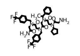 CC(c1ccccc1)N(CC(=O)N(CC(=O)N(CC(N)=O)Cc1ccc(C(F)(F)F)cc1)Cc1ccc(C(F)(F)F)cc1)C(=O)CN(C(=O)CN)C1CCCC1